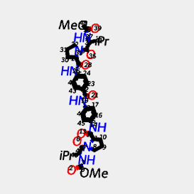 COC(=O)NC(C(=O)N1CCCC1C(=O)Nc1ccc(NC(=O)c2ccc(NC(=O)C3CCCN3C(=O)C(NC(=O)OC)C(C)C)cc2)cc1)C(C)C